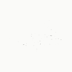 C[C@H]1C[C@@H](OC2CCCCO2)C[C@@H]2CC[C@H]3[C@@H]4[C@H](C5CO5)C[C@@H](O)[C@@]4(C)CC[C@@H]3[C@]21C